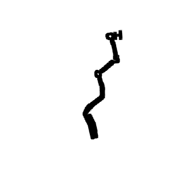 C=CCOSO